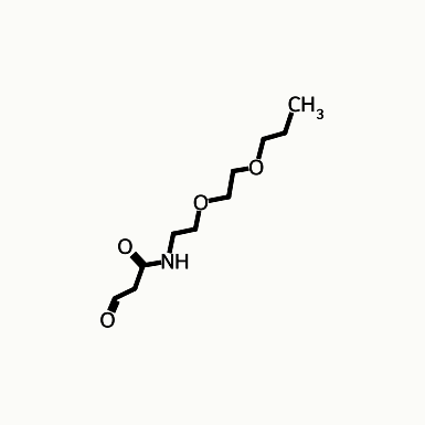 CCCOCCOCCNC(=O)CC=O